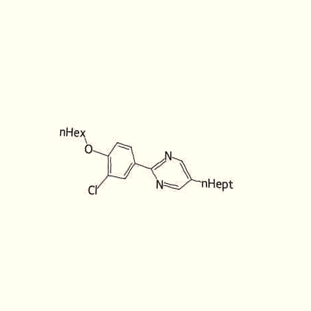 CCCCCCCc1cnc(-c2ccc(OCCCCCC)c(Cl)c2)nc1